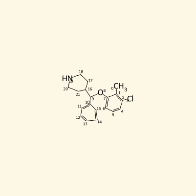 Cc1c(Cl)cccc1OC(c1ccccc1)C1CCNCC1